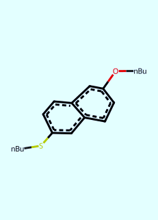 CCCCOc1ccc2cc(SCCCC)ccc2c1